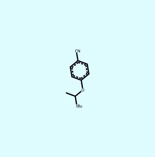 CC(Oc1ccc(C#N)cc1)C(C)(C)C